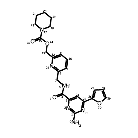 Nc1nc(C(=O)NCc2cccc(COC(=O)N3CCCCC3)n2)cc(-c2ccco2)n1